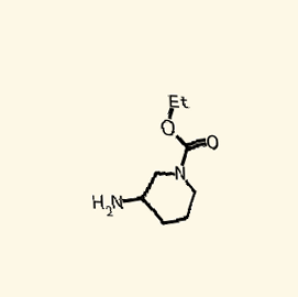 CCOC(=O)N1CCCC(N)C1